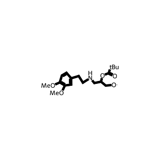 COc1ccc(CCNCC(C[O])OC(=O)C(C)(C)C)cc1OC